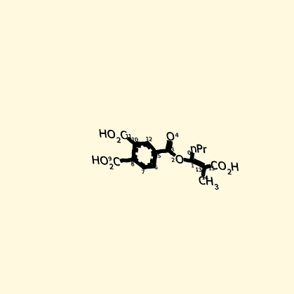 CCC/C(OC(=O)c1ccc(C(=O)O)c(C(=O)O)c1)=C(/C)C(=O)O